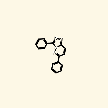 c1ccc(-c2ccc3nnc(-c4ccccc4)n3n2)cc1